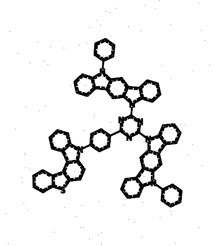 c1ccc(-n2c3ccccc3c3cc4c(cc32)c2ccccc2n4-c2nc(-c3ccc(-n4c5ccccc5c5c6c(ccc54)sc4ccccc46)cc3)nc(-n3c4ccccc4c4cc5c(cc43)c3ccccc3n5-c3ccccc3)n2)cc1